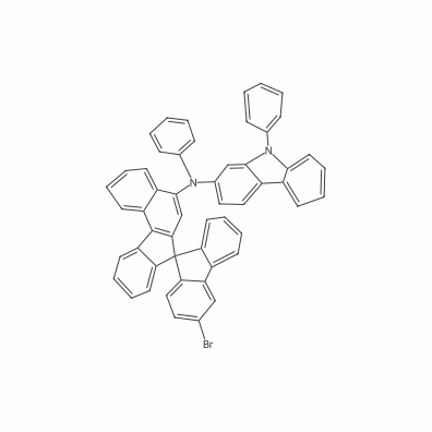 Brc1ccc2c(c1)-c1ccccc1C21c2ccccc2-c2c1cc(N(c1ccccc1)c1ccc3c4ccccc4n(-c4ccccc4)c3c1)c1ccccc21